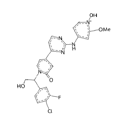 COc1cc(Nc2nccc(-c3ccn(C(CO)c4ccc(Cl)c(F)c4)c(=O)c3)n2)cc[n+]1O